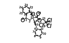 O=C1C[C@@](C#Cc2ccccc2)(C(=O)OCC(Cl)(Cl)Cl)Oc2ccccc21